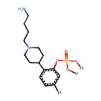 CCOP(=O)(OCC)Oc1cc(CC)ccc1C1CCN(CCCCN)CC1